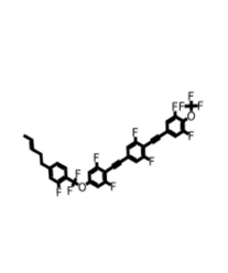 C/C=C/CCc1ccc(C(F)(F)Oc2cc(F)c(C#Cc3cc(F)c(C#Cc4cc(F)c(OC(F)(F)F)c(F)c4)c(F)c3)c(F)c2)c(F)c1